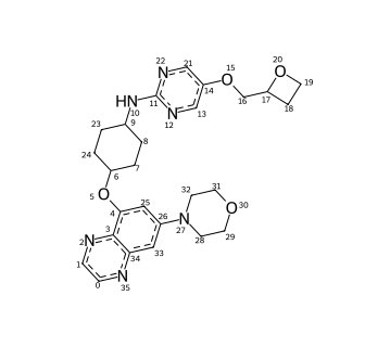 c1cnc2c(OC3CCC(Nc4ncc(OCC5CCO5)cn4)CC3)cc(N3CCOCC3)cc2n1